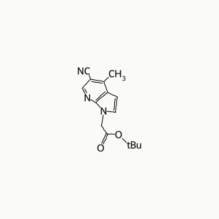 Cc1c(C#N)cnc2c1ccn2CC(=O)OC(C)(C)C